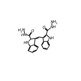 NNC(=O)c1[nH]c2ccccc2c1C=C1c2ccccc2NC1C(=O)NN